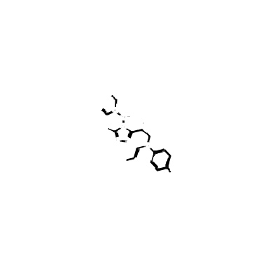 C=CN(CC(=O)OCC)Nn1c(C)nnc1[C@H](C)CN(/C=C/CC)c1ccc(Cl)cc1